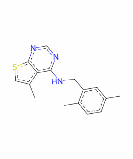 Cc1ccc(C)c(CNc2ncnc3scc(C)c23)c1